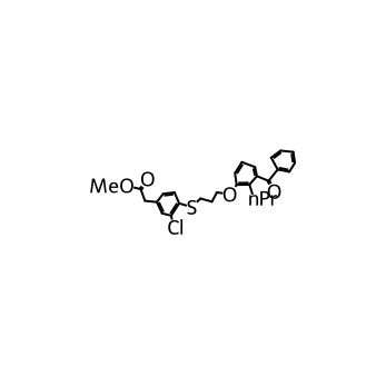 CCCc1c(OCCCSc2ccc(CC(=O)OC)cc2Cl)cccc1C(=O)c1ccccc1